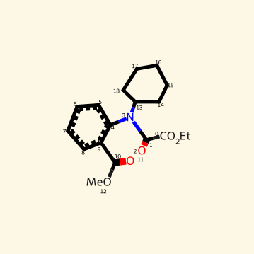 CCOC(=O)C(=O)N(c1ccccc1C(=O)OC)C1CCCCC1